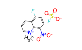 C[n+]1cccc2c(F)ccc([N+](=O)[O-])c21.O=S(=O)([O-])F